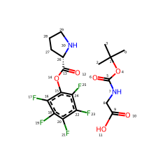 CC(C)(C)OC(=O)NCC(=O)O.O=C(Oc1c(F)c(F)c(F)c(F)c1F)[C@@H]1CCCN1